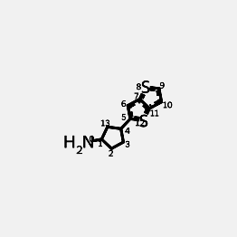 NC1CCC(c2cc3sccc3s2)C1